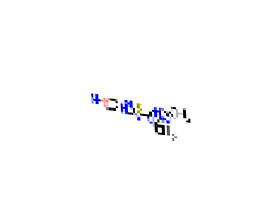 Cc1cn2cc(-c3nc4cn(C5CCB(C#N)CC5)nc4s3)nc(C)c2n1